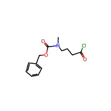 CN(CCCC(=O)Cl)C(=O)OCc1ccccc1